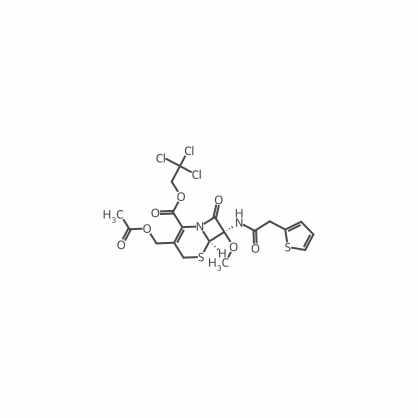 CO[C@]1(NC(=O)Cc2cccs2)C(=O)N2C(C(=O)OCC(Cl)(Cl)Cl)=C(COC(C)=O)CS[C@@H]21